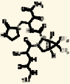 CC(C)(C)NC(=O)NC(C(=O)N1C[C@H]2[C@@H]([C@H]1C(=O)NC(C[C@@H]1CCNC1=O)C(=O)C(N)=O)C2(C)C)C(C)(C)C